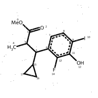 COC(=O)C(C)C(c1ccc(I)c(O)c1F)C1CC1